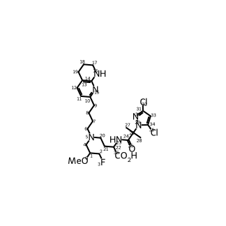 COC(CF)CN(CCCCc1ccc2c(n1)NCCC2)CCC(NC(=O)C(C)(C)n1nc(Cl)cc1Cl)C(=O)O